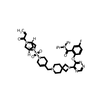 C=CC(=O)N1C[C@@H]2C[C@H]1CN2S(=O)(=O)N1CC=C(CN2CCC3(CC2)CN(c2ncnnc2Oc2ccc(F)cc2C(=O)N(C(C)C)C(C)C)C3)CC1